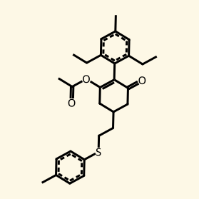 CCc1cc(C)cc(CC)c1C1=C(OC(C)=O)CC(CCSc2ccc(C)cc2)CC1=O